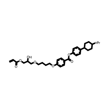 C=CC(=O)OCC(O)COCCCCOc1ccc(C(=O)Oc2ccc(C3CCC(CCC)CC3)cc2)cc1